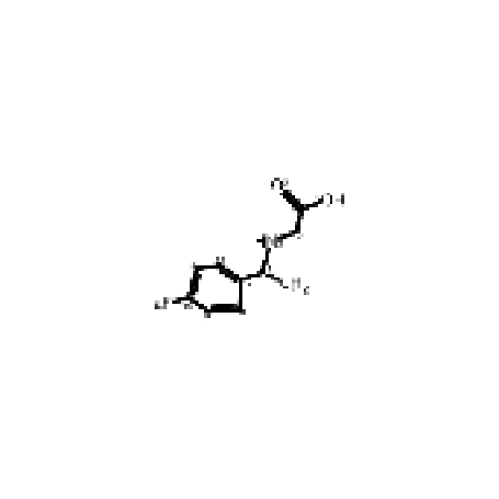 C[C@H](NCC(=O)O)c1ccc(F)cc1